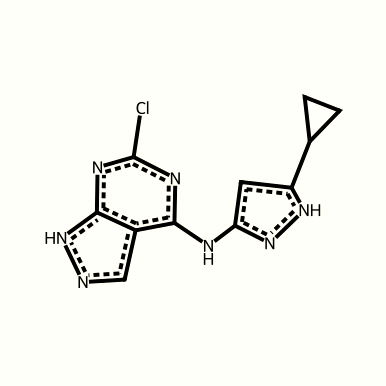 Clc1nc(Nc2cc(C3CC3)[nH]n2)c2cn[nH]c2n1